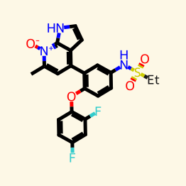 CCS(=O)(=O)Nc1ccc(Oc2ccc(F)cc2F)c(-c2cc(C)[n+]([O-])c3[nH]ccc23)c1